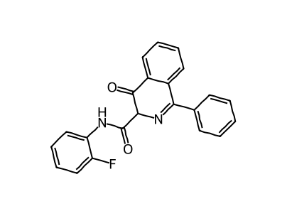 O=C(Nc1ccccc1F)C1N=C(c2ccccc2)c2ccccc2C1=O